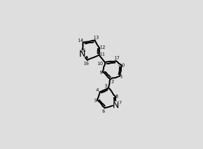 [c]1cc(-c2cccnc2)cc(-c2cccnc2)c1